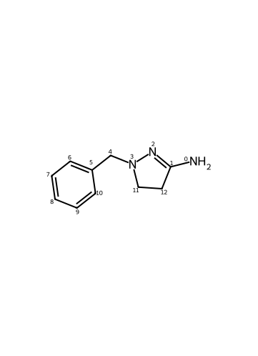 NC1=NN(Cc2ccccc2)CC1